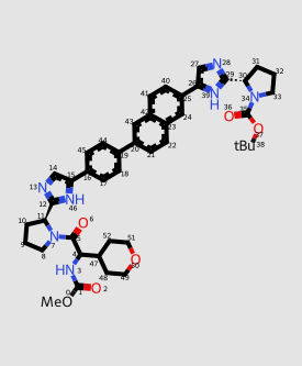 COC(=O)NC(C(=O)N1CCC[C@H]1c1ncc(-c2ccc(-c3ccc4cc(-c5cnc([C@@H]6CCCN6C(=O)OC(C)(C)C)[nH]5)ccc4c3)cc2)[nH]1)C1CCOCC1